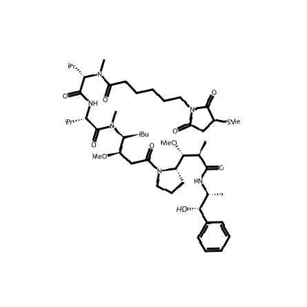 CC[C@H](C)[C@@H]([C@@H](CC(=O)N1CCC[C@H]1[C@H](OC)[C@@H](C)C(=O)N[C@H](C)[C@@H](O)c1ccccc1)OC)N(C)C(=O)[C@@H](NC(=O)[C@H](C(C)C)N(C)C(=O)CCCCCN1C(=O)CC(SC)C1=O)C(C)C